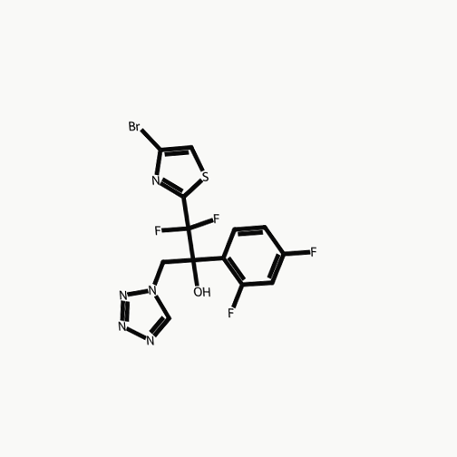 OC(Cn1cnnn1)(c1ccc(F)cc1F)C(F)(F)c1nc(Br)cs1